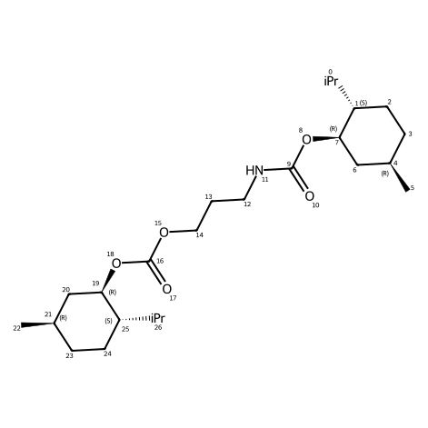 CC(C)[C@@H]1CC[C@@H](C)C[C@H]1OC(=O)NCCCOC(=O)O[C@@H]1C[C@H](C)CC[C@H]1C(C)C